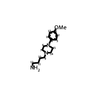 COc1ccc(N2CCN(CCCCN)CC2)cc1